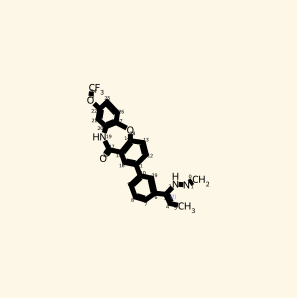 C=NN/C(=C\C)c1cccc(-c2ccc3c(c2)C(=O)Nc2cc(OC(F)(F)F)ccc2O3)c1